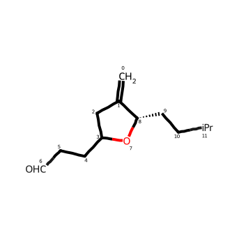 C=C1CC(CCC=O)O[C@H]1CCC(C)C